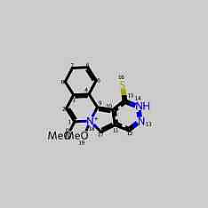 COC1=CC2=C(C=CCC2)C2=c3c(cn[nH]c3=S)=C[N+]12OC